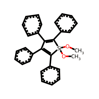 CO[Si]1(OC)C(c2ccccc2)=C(c2ccccc2)C(c2ccccc2)=C1c1ccccc1